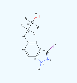 Cn1nc(I)c2cc(CC(C)(C)[Si](C)(C)O)ccc21